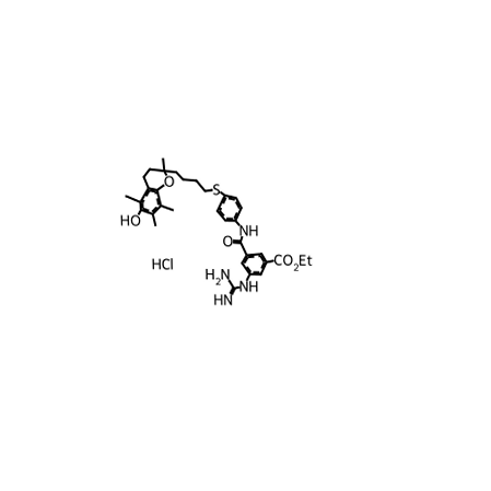 CCOC(=O)c1cc(NC(=N)N)cc(C(=O)Nc2ccc(SCCCCC3(C)CCc4c(C)c(O)c(C)c(C)c4O3)cc2)c1.Cl